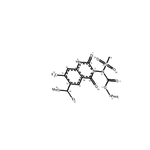 CCCCCOC(=O)N(n1c(=O)[nH]c2cc(C(F)(F)F)c(C(CC)OC)cc2c1=O)S(C)(=O)=O